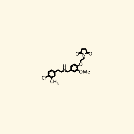 COc1cc(CNCCc2ccc(Cl)c(C)c2)ccc1OCCN1C(=O)CCC1=O